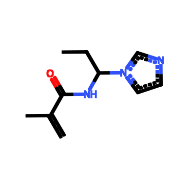 C=C(C)C(=O)NC(CC)n1ccnc1